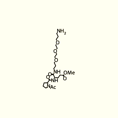 COC(=O)CCC(NC(=O)C1CCCN1C(C)=O)C(=O)NCCCOCCOCCOCCCN